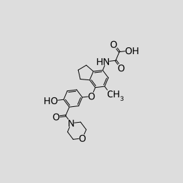 Cc1cc(NC(=O)C(=O)O)c2c(c1Oc1ccc(O)c(C(=O)N3CCOCC3)c1)CCC2